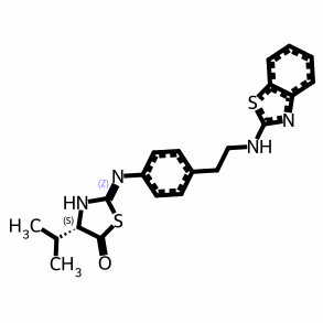 CC(C)[C@@H]1N/C(=N/c2ccc(CCNc3nc4ccccc4s3)cc2)SC1=O